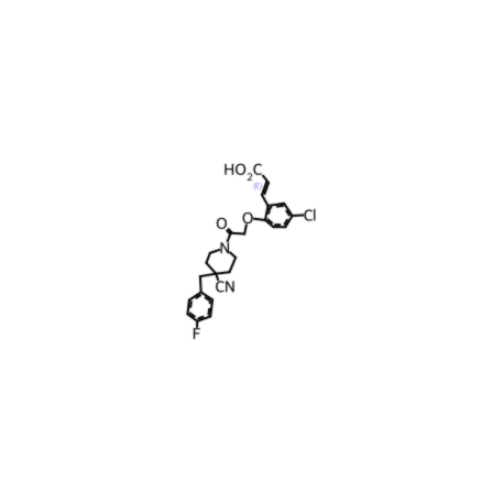 N#CC1(Cc2ccc(F)cc2)CCN(C(=O)COc2ccc(Cl)cc2/C=C/C(=O)O)CC1